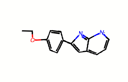 CCOc1ccc(C2=CC3=CC=C[N]C3=N2)cc1